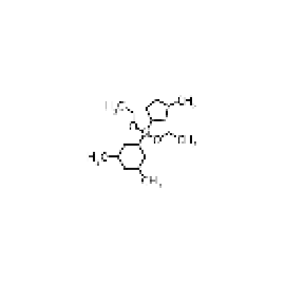 CCO[Si](OCC)(C1CCC(C)C1)C1CC(C)CC(C)C1